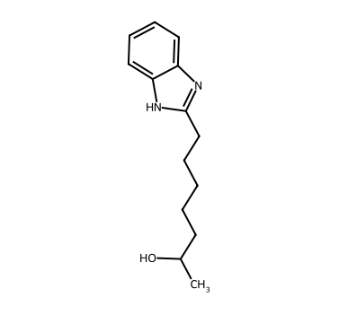 CC(O)CCCCCc1nc2ccccc2[nH]1